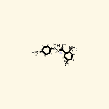 C/C(=N\Nc1ccc(C)cc1)c1cc(Cl)ccc1N